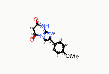 COc1ccc(-c2cn3c(n2)NC(=O)CC3=O)cc1